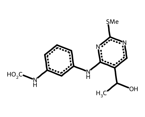 CSc1ncc(C(C)O)c(Nc2cccc(NC(=O)O)c2)n1